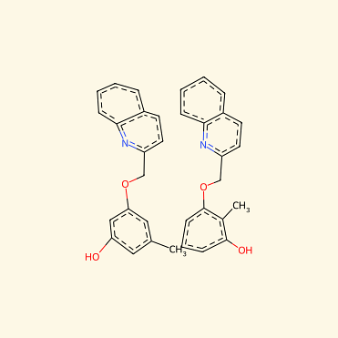 Cc1c(O)cccc1OCc1ccc2ccccc2n1.Cc1cc(O)cc(OCc2ccc3ccccc3n2)c1